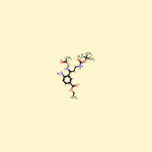 CCOC(=O)c1ccc(N)c(C(CCNC(=O)OC(C)(C)C)=NOC(C)=O)c1